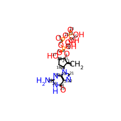 C=C1[C@H](OP(=O)(O)OP(=O)(O)OP(=O)(O)O)[C@@H](O)C[C@@H]1n1cnc2c(=O)[nH]c(N)nc21